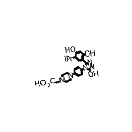 CC(C)c1cc(-c2nnc(O)n2-c2ccc(N3CCN(CC(=O)O)CC3)cc2)c(O)cc1O